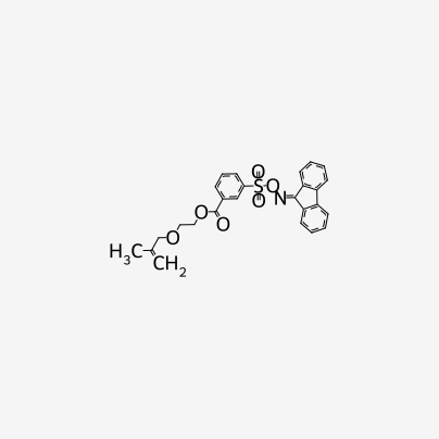 C=C(C)COCCOC(=O)c1cccc(S(=O)(=O)ON=C2c3ccccc3-c3ccccc32)c1